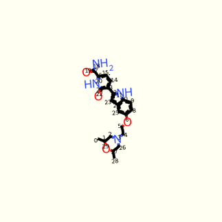 CC1CN(CCOc2ccc3[nH]c(-c4c[c]c(C(N)=O)[nH]c4=O)cc3c2)CC(C)O1